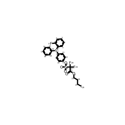 Fc1ccccc1[S+](c1ccccc1)c1ccccc1.O=C(OCCCI)C(F)(F)S(=O)(=O)[O-]